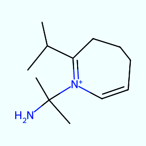 CC(C)C1=[N+](C(C)(C)N)C=CCCC1